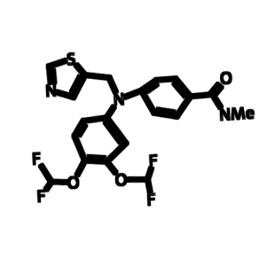 CNC(=O)c1ccc(N(Cc2cncs2)c2ccc(OC(F)F)c(OC(F)F)c2)cc1